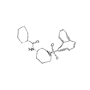 O=C(N[C@H]1CCCN(S(=O)(=O)c2cccc3ccccc23)C1)C1CCCCC1